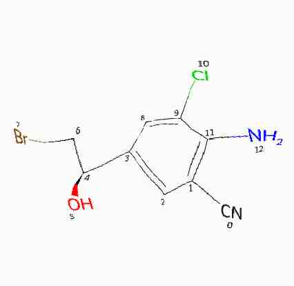 N#Cc1cc([C@@H](O)CBr)cc(Cl)c1N